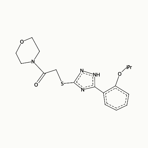 CC(C)Oc1ccccc1-c1nc(SCC(=O)N2CCOCC2)n[nH]1